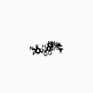 Cn1c(=O)c(C(=O)NCc2cc(F)c(C#N)c(F)c2)cc(=C/N)/c1=C(\N)OCC1(SC2CC2)CC1